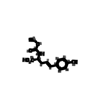 CC(C)(C)OC(=O)N[C@@H](CC=Cc1ccc(C#N)cc1)C(=O)O